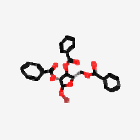 O=C(OC[C@@H]1O[C@@H](OBr)[C@H](OC(=O)c2ccccc2)[C@H]1OC(=O)c1ccccc1)c1ccccc1